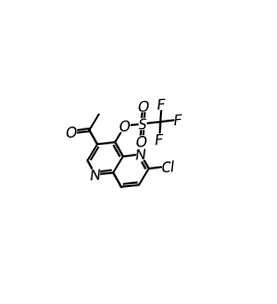 CC(=O)c1cnc2ccc(Cl)nc2c1OS(=O)(=O)C(F)(F)F